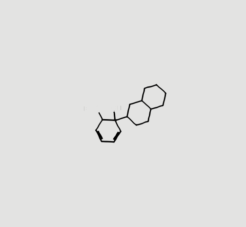 O=C(O)C1C=CC=CC1(O)C1CCC2CCCCC2C1